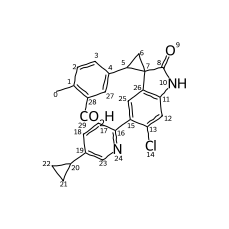 Cc1ccc(C2CC23C(=O)Nc2cc(Cl)c(-c4ccc(C5CC5)cn4)cc23)cc1C(=O)O